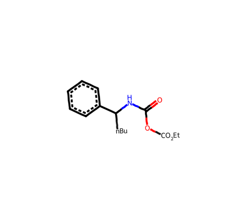 CCCCC(NC(=O)OC(=O)OCC)c1ccccc1